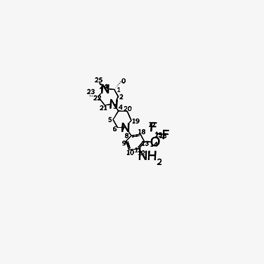 C[C@@H]1CN(C2CCN(c3ccc(N)c(OC(F)F)c3)CC2)C[C@H](C)N1C